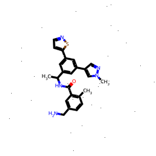 Cc1ccc(CN)cc1C(=O)NC(C)c1cc(-c2cnn(C)c2)cc(-c2ccns2)c1